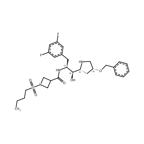 CCCCS(=O)(=O)N1CC(C(=O)N[C@@H](Cc2cc(F)cc(F)c2)[C@H](O)[C@H]2C[C@@H](OCc3ccccc3)CN2)C1